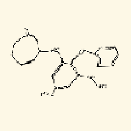 CCCCNc1cc(C(=O)O)cc(NC2CCCCNC2)c1Oc1ccccc1